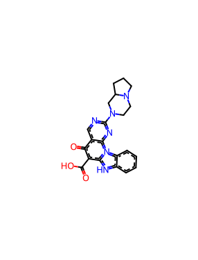 O=C(O)c1c(=O)c2cnc(N3CCN4CCCC4C3)nc2n2c1[nH]c1ccccc12